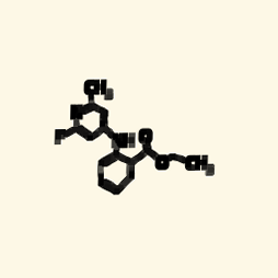 CCOC(=O)c1ccccc1Nc1cc(C)nc(F)c1